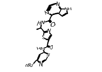 CC(NC(=O)c1ncnc2[nH]ccc12)c1ncc(C(=O)Nc2cc(C(C)(C)C)ncn2)s1